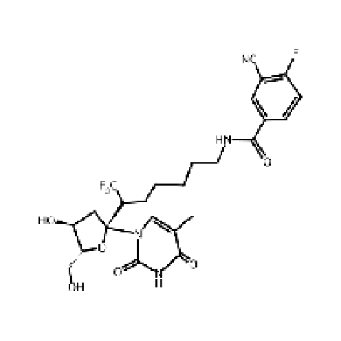 Cc1cn([C@@]2(C(CCCCCNC(=O)c3ccc(F)c(C#N)c3)C(F)(F)F)C[C@H](O)[C@@H](CO)O2)c(=O)[nH]c1=O